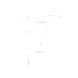 CC(=O)N(CC(=O)O)C1CC1n1nc(C(N)=O)c2ccncc21